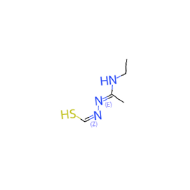 CCN/C(C)=N/N=C\S